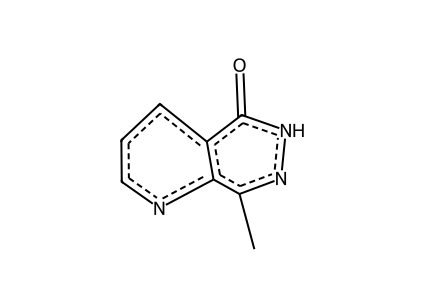 Cc1n[nH]c(=O)c2cccnc12